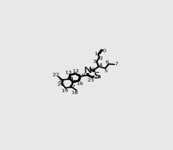 C=CCCC(CCC)c1nc(-c2ccc3c(c2)C(C)CCC3C)cs1